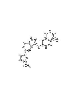 Cn1cc(-c2ccc3nnc(Cc4ccc5c(ccc[n+]5[O-])c4)n3n2)cn1